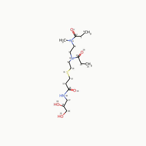 CCC(=O)N(C)CCN(CCSCCC(=O)NCC(O)CO)C(=O)CC